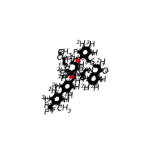 [2H]c1c([2H])c(F)c(F)c(CSc2c([2H])c(=O)c3c([2H])c([2H])c([2H])c([2H])c3n2CC(=O)N(C([2H])([2H])c2c([2H])c([2H])c(-c3c([2H])c([2H])c(C(F)(F)F)c(C)c3[2H])c([2H])c2[2H])C2([2H])C([2H])([2H])C([2H])([2H])N(CCOC)C([2H])([2H])C2([2H])[2H])c1[2H]